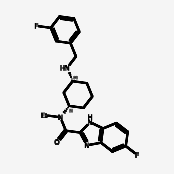 CCN(C(=O)c1nc2cc(F)ccc2[nH]1)[C@H]1CCC[C@@H](NCc2cccc(F)c2)C1